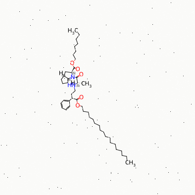 CCCCCCCCCCCCCCCCCCOC(=O)C(CCN[C@@H](C)C(=O)N1[C@H](C(=O)OCCCCCCCC)C[C@@H]2CCC[C@@H]21)c1ccccc1